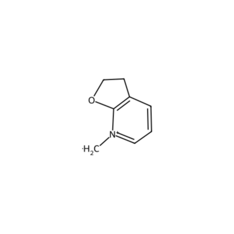 [CH2][n+]1cccc2c1OCC2